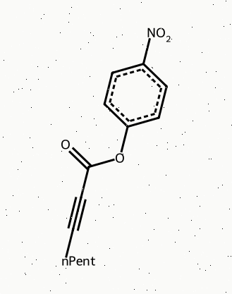 CCCCCC#CC(=O)Oc1ccc([N+](=O)[O-])cc1